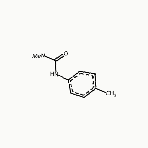 [CH2]NC(=O)Nc1ccc(C)cc1